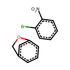 O=[N+]([O-])c1ccccc1Br.c1cc2cc(c1)OC2